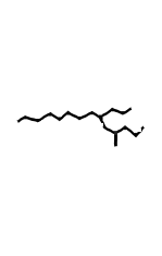 CCCCCCCCC(CCC)CC(C)CCC